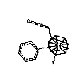 C[C]12[CH]3[CH]4[C]5(C=C=O)[C]1(c1ccccc1)[Fe]34251678[CH]2[CH]1[CH]6[CH]7[CH]28